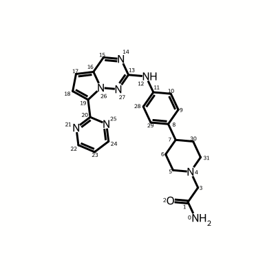 NC(=O)CN1CCC(c2ccc(Nc3ncc4ccc(-c5ncccn5)n4n3)cc2)CC1